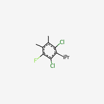 Cc1c(C)c(Cl)c(C(C)C)c(Cl)c1F